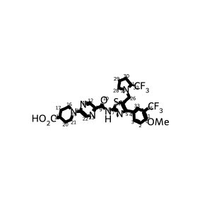 COc1ccc(-c2nc(NC(=O)c3cnc(N4CCC(C(=O)O)CC4)cn3)sc2CN2CCC[C@H]2C(F)(F)F)cc1C(F)(F)F